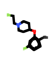 CC(C)(C)c1ccc(F)cc1OC1CCN(CCF)CC1